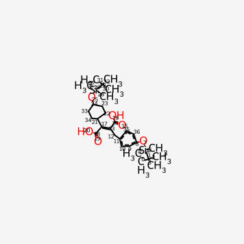 CC(C)(C)[Si](C)(C)Oc1ccc(CC(C(=O)O)=C(C(=O)O)C2CCC(O[Si](C)(C)C(C)(C)C)CC2)cc1